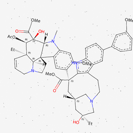 CC[C@]1(O)C[C@H]2CN(CCc3c([nH]c4ccc(-c5cccc(OC)c5)cc34)[C@@](C(=O)OC)(c3cc4c(cc3OC)N(C)[C@H]3[C@@](O)(C(=O)OC)[C@H](OC(C)=O)[C@]5(CC)C=CCN6CC[C@]43[C@@H]65)C2)C1